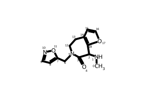 CNC1C(=O)N(Cc2ccno2)CCc2ccoc21